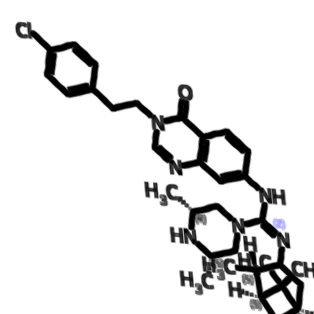 C[C@@H]1CN(/C(=N\C2C[C@H]3C[C@@H]([C@@H]2C)C3(C)C)Nc2ccc3c(=O)n(CCc4ccc(Cl)cc4)cnc3c2)C[C@H](C)N1